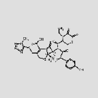 CCN1C(=O)C(=O)NCC1C(=O)N(C(=O)C(N)c1ccc(O)cc1)[C@]1(OC)C(=O)N2C(C(=O)O)=C(CSc3nnnn3C)CS[C@H]21